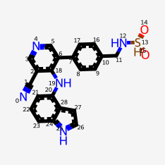 N#Cc1cncc(-c2ccc(CN[SH](=O)=O)cc2)c1Nc1cccc2[nH]ccc12